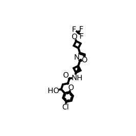 O=C(NC12CC(c3nc(C4CC(OC(F)(F)F)C4)co3)(C1)C2)C1CC(O)c2cc(Cl)ccc2O1